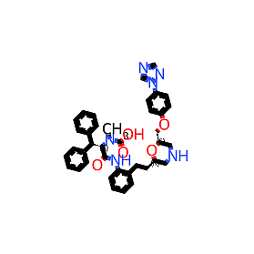 CN(C(=O)O)[C@H](C(=O)Nc1ccccc1CC[C@@H]1CNC[C@@H](COc2ccc(-n3cncn3)cc2)O1)C(c1ccccc1)c1ccccc1